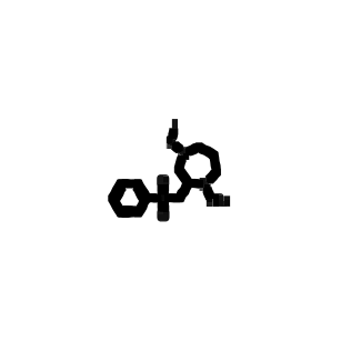 CCCCN1CCCN(SI)CC1CS(=O)(=O)c1ccccc1